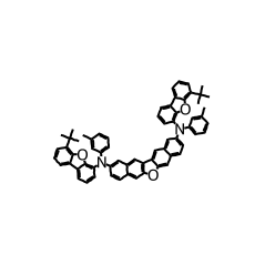 Cc1cccc(N(c2ccc3cc4oc5cc6ccc(N(c7cccc(C)c7)c7cccc8c7oc7c(C(C)(C)C)cccc78)cc6cc5c4cc3c2)c2cccc3c2oc2c(C(C)(C)C)cccc23)c1